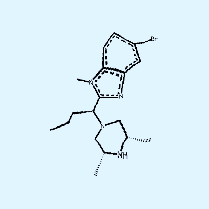 CCC[C@@H](c1nc2cc(Br)ccc2n1C)N1C[C@@H](C)N[C@@H](C)C1